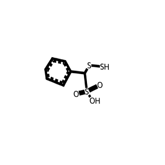 O=S(=O)(O)C(SS)c1ccccc1